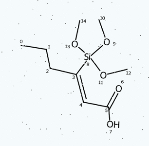 CCCC(=CC(=O)O)[Si](OC)(OC)OC